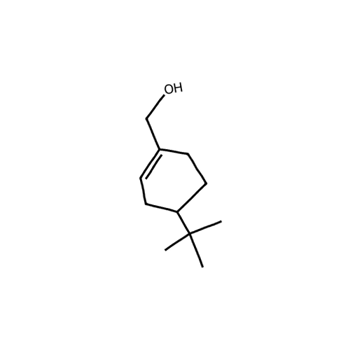 CC(C)(C)C1CC=C(CO)CC1